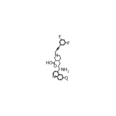 COc1ccc2nccc([C@@H](N)CC[C@@H]3CCN(CC#Cc4cc(F)cc(F)c4)C[C@@H]3C(=O)O)c2c1